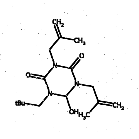 C=C(C)CN1C(=O)N(CC(=C)C)C(O)N(CC(C)(C)C)C1=O